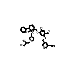 CC1(Cl)C(c2ccccc2)=CC=CC1(COc1cc(OCc2cncc(C#N)c2)c(C=O)cc1Cl)OC[C@H]1CCN(CC(O)CO)C1